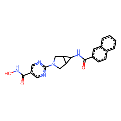 O=C(NO)c1cnc(N2CC3C(C2)C3NC(=O)c2ccc3ccccc3c2)nc1